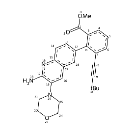 COC(=O)c1cccc(C#CC(C)(C)C)c1-c1ccc2nc(N)c(N3CCOCC3)cc2c1